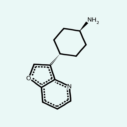 N[C@H]1CC[C@H](c2coc3cccnc32)CC1